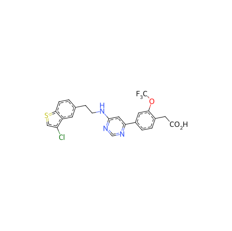 O=C(O)Cc1ccc(-c2cc(NCCc3ccc4scc(Cl)c4c3)ncn2)cc1OC(F)(F)F